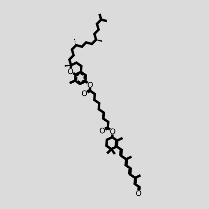 CC1=C(/C=C/C(C)=C/C=C/C(C)=C/C=O)C(C)(C)CCC1OC(=O)CCCCCCCC(=O)Oc1cc(C)c2c(c1)CC[C@@](C)(CCC[C@H](C)CCC[C@H](C)CCCC(C)C)O2